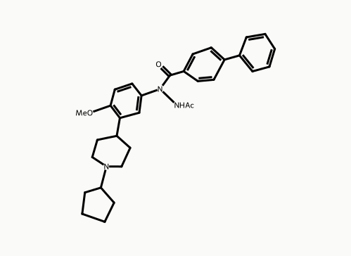 COc1ccc(N(NC(C)=O)C(=O)c2ccc(-c3ccccc3)cc2)cc1C1CCN(C2CCCC2)CC1